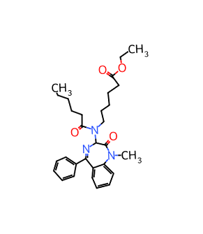 CCCCCC(=O)N(CCCCCC(=O)OCC)C1N=C(c2ccccc2)c2ccccc2N(C)C1=O